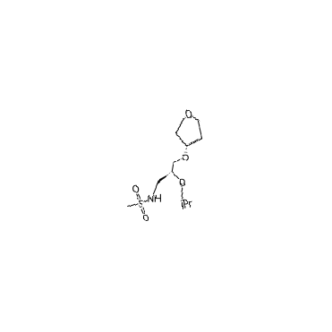 CC(C)O[C@@H](CNS(C)(=O)=O)CO[C@H]1CCOC1